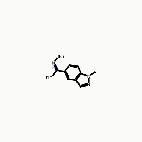 CCC/C(=N/C(C)(C)C)c1ccc2c(cnn2C)c1